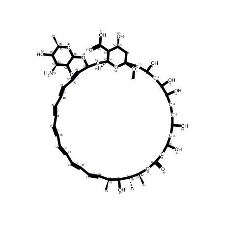 COC12CC(O)CC(O)C(O)CCC(O)CC(O)CC(=O)O[C@@H](C)[C@H](C)C(O)[C@@H](C)/C=C/C=C/C=C/C=C/C=C/C=C/C=C/C(OC3O[C@H](C)C(O)[C@H](N)C3O)C[C@H](O1)C(C(=O)O)[C@@H](O)C2